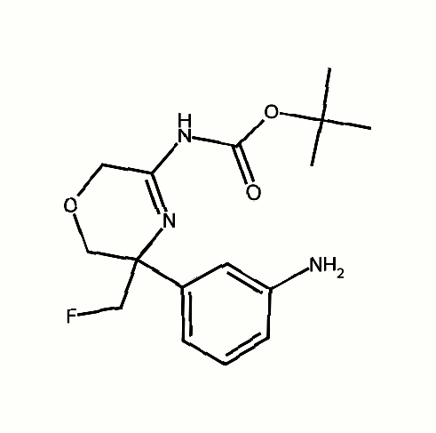 CC(C)(C)OC(=O)NC1=NC(CF)(c2cccc(N)c2)COC1